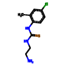 Cc1cc(Cl)ccc1NC(=S)NCCN